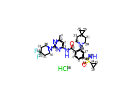 Cc1cc(NC(=O)c2ccc([S@](=N)(=O)C3CC3)cc2N2CCC3(CC2)CC3)nc(N2CCC(F)(F)CC2)n1.Cl